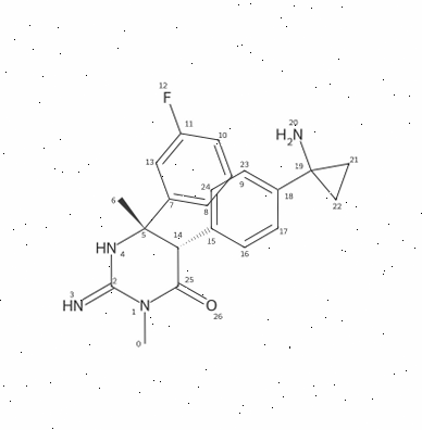 CN1C(=N)N[C@](C)(c2cccc(F)c2)[C@H](c2ccc(C3(N)CC3)cc2)C1=O